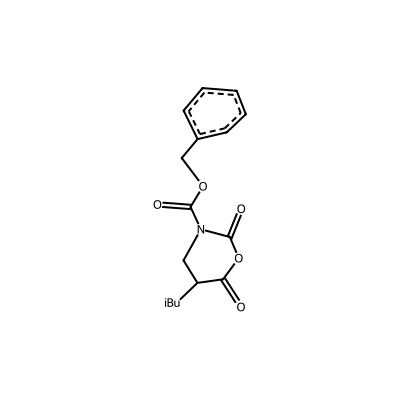 CCC(C)C1CN(C(=O)OCc2ccccc2)C(=O)OC1=O